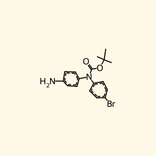 CC(C)(C)OC(=O)N(c1ccc(N)cc1)c1ccc(Br)cc1